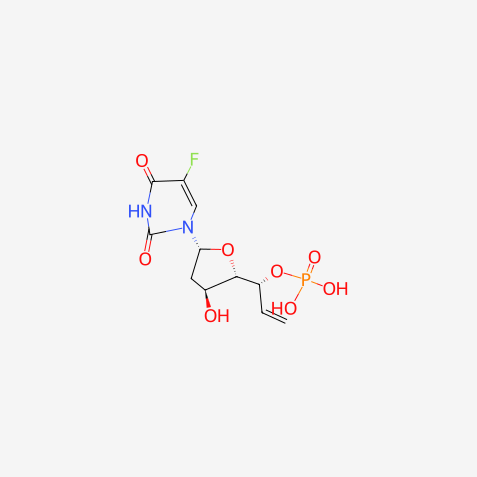 C=C[C@@H](OP(=O)(O)O)[C@H]1O[C@@H](n2cc(F)c(=O)[nH]c2=O)C[C@@H]1O